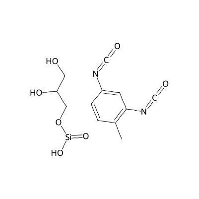 Cc1ccc(N=C=O)cc1N=C=O.O=[Si](O)OCC(O)CO